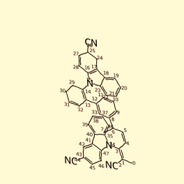 C/C(C#N)=C(\C=C/C(C)c1cccc(C2=C(n3c4c(c5ccccc53)CC(C#N)C=C4)CCC=C2)c1)n1c2ccccc2c2cc(C#N)ccc21